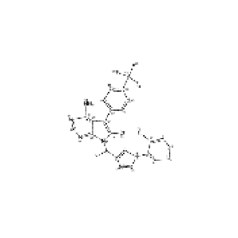 CC(c1cn(-c2ccccc2F)nn1)n1c(Br)c(-c2cnc(C(F)(F)F)nc2)c2c(N)ncnc21